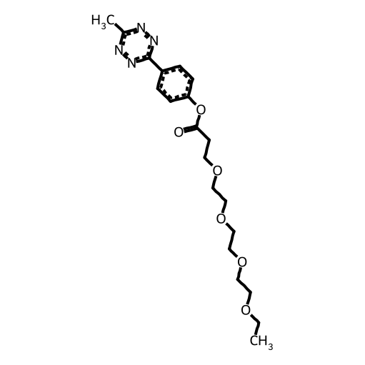 CCOCCOCCOCCOCCC(=O)Oc1ccc(-c2nnc(C)nn2)cc1